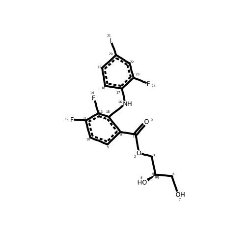 O=C(OC[C@H](O)CO)c1ccc(F)c(F)c1Nc1ccc(I)cc1F